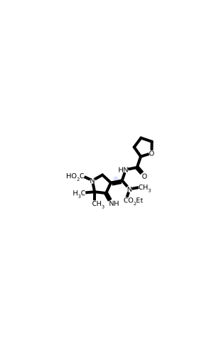 CCOC(=O)N(C)/C(NC(=O)C1CCCO1)=C1/CN(C(=O)O)C(C)(C)C1=N